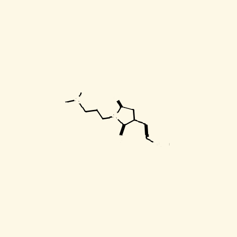 CCCCCCCC/C=C/C1CC(=O)N(CCCN(C)C)C1=O